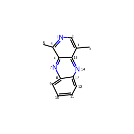 Cc1cnc(C)c2nc3ccccc3nc12